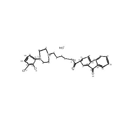 Cl.O=C(NCCCCN1CCN(c2cccc(Cl)c2Cl)CC1)c1ccc2c(c1)C(=O)c1ccccc1-2